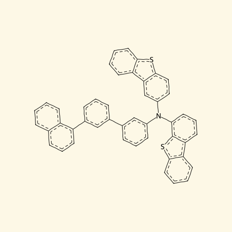 c1cc(-c2cccc(N(c3ccc4sc5ccccc5c4c3)c3cccc4c3sc3ccccc34)c2)cc(-c2cccc3ccccc23)c1